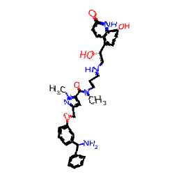 CN(CCCNC[C@H](O)c1ccc(O)c2[nH]c(=O)ccc12)C(=O)c1cc(COc2cccc([C@@H](N)c3ccccc3)c2)nn1C